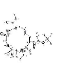 COC(=O)[C@@H]1C/C=C/C[C@H](NC(=O)OC(C)(C)C)C(=O)N2CCC[C@H]2C(=O)NCC(=O)N1